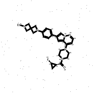 CCN1CC2(C1)CN(c1ccc(-c3cc4c(N5CCN(C(=O)[C@H]6C[C@H]6F)CC5)ccnn4c3)cc1)C2